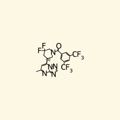 Cc1cc([C@@H]2CN(C(=O)c3cc(C(F)(F)F)cc(C(F)(F)F)c3)CC(F)(F)C2)n2ncnc2n1